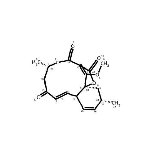 COC1=C2C(=O)C[C@@H](C)CC(=O)/C=C/C3C=C[C@@H](C)C[C@@]13OC2=O